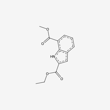 CCOC(=O)c1cc2cccc(C(=O)OC)c2[nH]1